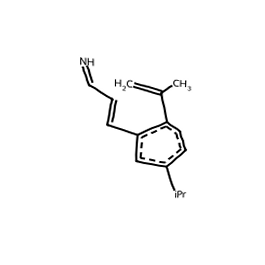 C=C(C)c1ccc(C(C)C)cc1/C=C/C=N